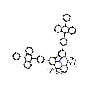 CC1(C)c2cccc3c2-n2c4c1cc(-c1ccc(-c5c6ccccc6c(-c6ccccc6)c6ccccc56)cc1)cc4c1cc(-c4ccc(-c5c6ccccc6c(-c6ccccc6)c6ccccc56)cc4)cc(c12)C3(C)C